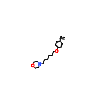 CC(=O)c1ccc(OCCCCCCN2CCOCC2)cc1